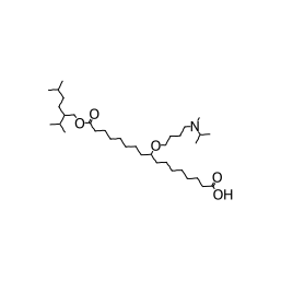 CC(C)CCC(COC(=O)CCCCCCCC(CCCCCCCC(=O)O)OCCCCN(C)C(C)C)C(C)C